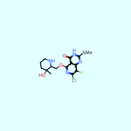 CSc1nc2c(F)c(Cl)nc(OCC3NCCCC3(C)O)c2c(=O)[nH]1